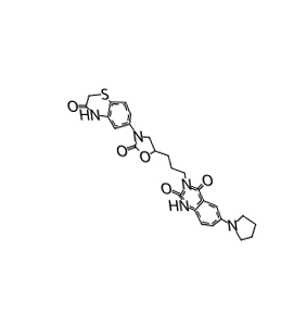 O=C1CSc2ccc(N3CC(CCCn4c(=O)[nH]c5ccc(N6CCCC6)cc5c4=O)OC3=O)cc2N1